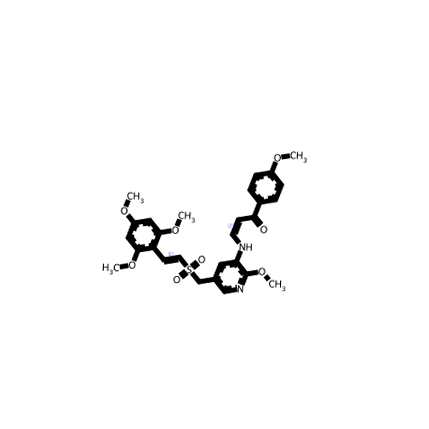 COc1ccc(C(=O)/C=C\Nc2cc(CS(=O)(=O)/C=C/c3c(OC)cc(OC)cc3OC)cnc2OC)cc1